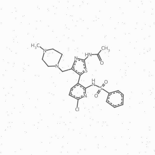 CC(=O)Nc1nc(CN2CCN(C)CC2)c(-c2ccc(Cl)nc2NS(=O)(=O)c2ccccc2)s1